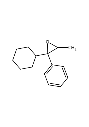 CC1OC1(c1ccccc1)C1CCCCC1